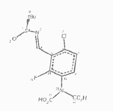 CC(C)(C)[S@+]([O-])/N=C/c1c(Cl)ccc(N(C(=O)O)C(=O)O)c1F